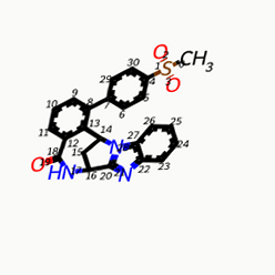 CS(=O)(=O)c1ccc(-c2cccc3c2C2CC(NC3=O)c3nc4ccccc4n32)cc1